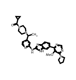 COc1c(-c2ccc3nc(Nc4cc(C(C)N5CCN(C(=O)C6CC6)CC5)ccn4)[nH]c3c2)ncnc1N1CCCC1